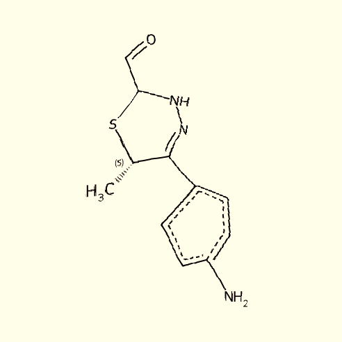 C[C@@H]1SC(C=O)NN=C1c1ccc(N)cc1